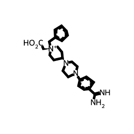 N=C(N)c1ccc(N2CCN([C@H]3CC[N@@+](CC(=O)O)(Cc4ccccc4)CC3)CC2)cc1